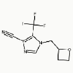 N#Cc1ncn(CC2CCO2)c1C(F)(F)F